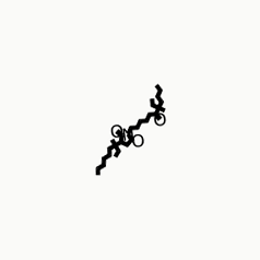 CCCCCCC(C)(CC)C1CC(=O)N(CCCCCC(=O)C(C)(CC)CCCC)C1=O